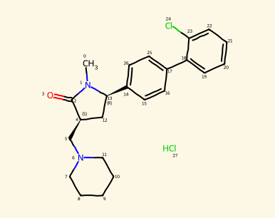 CN1C(=O)[C@H](CN2CCCCC2)C[C@@H]1c1ccc(-c2ccccc2Cl)cc1.Cl